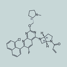 C=CC(=O)N1CC[C@@H]2[C@H]1CN2c1nc(OC[C@@H]2CCCN2C)nc2nc(-c3cccc4cccc(Cl)c34)c(F)cc12